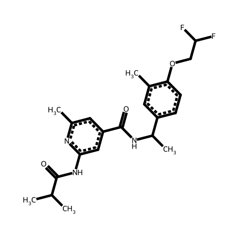 Cc1cc(C(=O)NC(C)c2ccc(OCC(F)F)c(C)c2)cc(NC(=O)C(C)C)n1